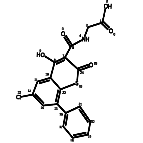 O=C(O)CNC(=O)c1c(O)c2cc(Cl)cc(-c3ccccc3)c2sc1=O